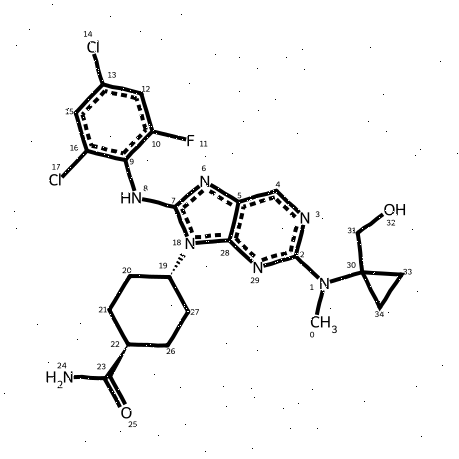 CN(c1ncc2nc(Nc3c(F)cc(Cl)cc3Cl)n([C@H]3CC[C@H](C(N)=O)CC3)c2n1)C1(CO)CC1